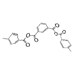 Cc1ccc(C(=O)OC(=O)c2cccc(C(=O)OC(=O)c3ccc(C)cc3)c2)cc1